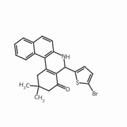 CC1(C)CC(=O)C2=C(C1)c1c(ccc3ccccc13)NC2c1ccc(Br)s1